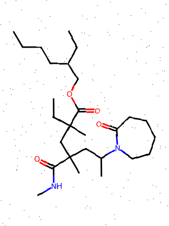 CCCCC(CC)COC(=O)C(C)(CC)CC(C)(CC(C)N1CCCCCC1=O)C(=O)NC